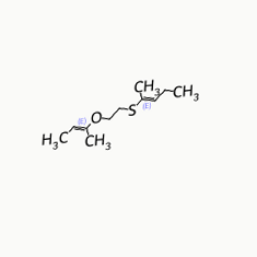 C/C=C(\C)OCCS/C(C)=C/CC